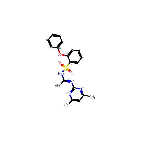 CS/C(=N\c1nc(C)cc(C)n1)NS(=O)(=O)c1ccccc1Oc1ccccc1